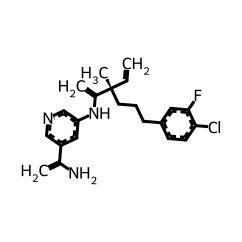 C=C[C@](C)(CCCc1ccc(Cl)c(F)c1)C(=C)Nc1cncc(C(=C)N)c1